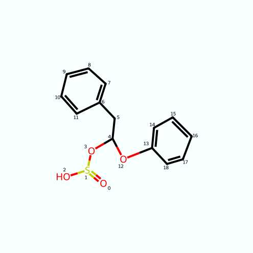 O=S(O)OC(Cc1ccccc1)Oc1ccccc1